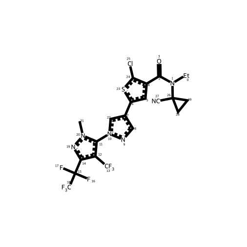 CCN(C(=O)c1cc(-c2cnn(-c3c(C(F)(F)F)c(C(F)(F)C(F)(F)F)nn3C)c2)sc1Cl)C1(C#N)CC1